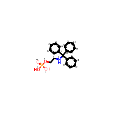 O=P(O)(O)OCCNC(c1ccccc1)(c1ccccc1)c1ccccc1